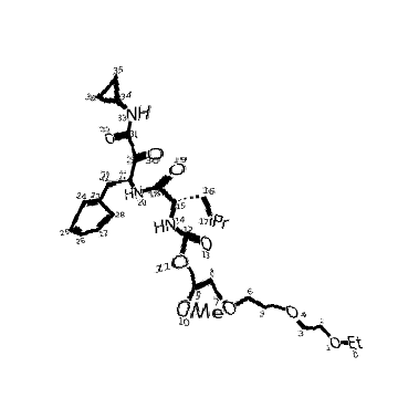 CCOCCOCCOCC(OC)OC(=O)N[C@@H](CC(C)C)C(=O)N[C@@H](Cc1ccccc1)C(=O)C(=O)NC1CC1